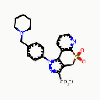 CCOC(=O)c1nn(-c2ccc(CN3CCCCC3)cc2)c2c1CS(=O)(=O)c1ncccc1-2